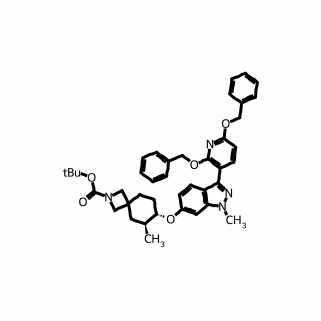 C[C@H]1CC2(CC[C@@H]1Oc1ccc3c(-c4ccc(OCc5ccccc5)nc4OCc4ccccc4)nn(C)c3c1)CN(C(=O)OC(C)(C)C)C2